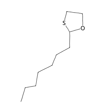 CCCCCCCC1OCCS1